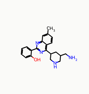 Cc1ccc2c(C3CNCC(CN)C3)nc(-c3ccccc3O)nc2c1